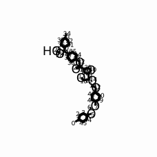 Cc1ccc(OCOc2ccc(OCO[C@@H]3COC4C(C(=O)Oc5ccc(C(OO)c6ccc(C)cc6)cc5)COC43)cc2)cc1